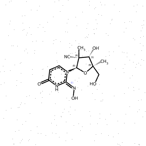 C[C@]1(C#N)[C@H](n2ccc(=O)[nH]/c2=N\O)O[C@](C)(CO)[C@H]1O